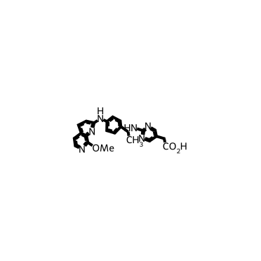 COc1nccc2ccc(Nc3ccc(C(C)Nc4ncc(CC(=O)O)cn4)cc3)nc12